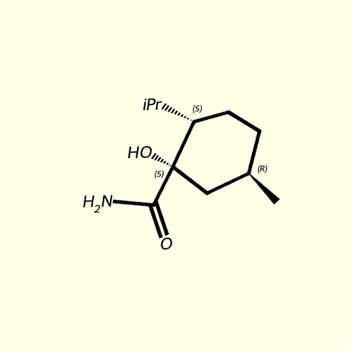 CC(C)[C@@H]1CC[C@@H](C)C[C@@]1(O)C(N)=O